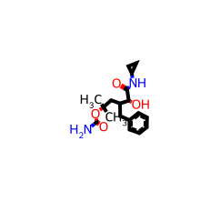 CC(C)(CC(Cc1ccccc1)C(O)C(=O)NC1CC1)OC(N)=O